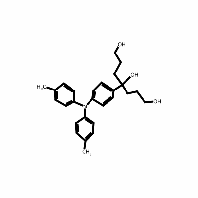 Cc1ccc(N(c2ccc(C)cc2)c2ccc(C(O)(CCCO)CCCO)cc2)cc1